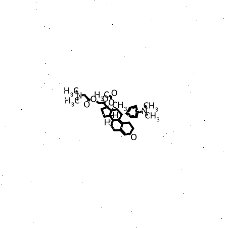 CC(=O)O[C@]1(C(=O)COC(=O)CN(C)C)CC[C@H]2[C@@H]3CCC4=CC(=O)CCC4=C3[C@@H](c3ccc(N(C)C)cc3)C[C@@]21C